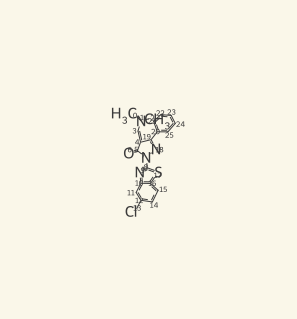 CN(C)/C=C1/C(=O)N(c2nc3cc(Cl)ccc3s2)N=C1c1ccccc1